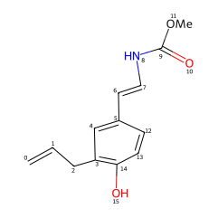 C=CCc1cc(C=CNC(=O)OC)ccc1O